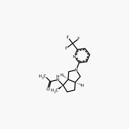 CC(=O)N[C@@]1(C)CC[C@@H]2CN(c3cccc(C(F)(F)F)n3)C[C@@H]21